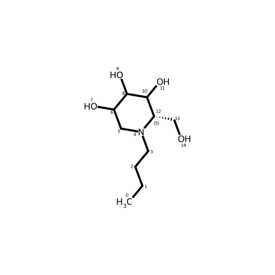 CCCCN1CC(O)C(O)C(O)[C@@H]1CO